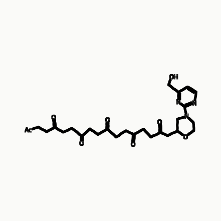 CC(=O)CCC(=O)CCC(=O)CCC(=O)CCC(=O)CCC(=O)CC1CN(c2nccc(CO)n2)CCO1